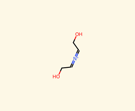 OCC=[N+]=CCO